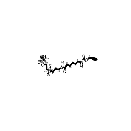 C#CCOC(=O)NCCCCCC(=O)NCCC[N+](C)(C)CCOP(=O)([O-])O